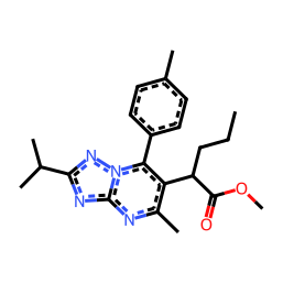 CCCC(C(=O)OC)c1c(C)nc2nc(C(C)C)nn2c1-c1ccc(C)cc1